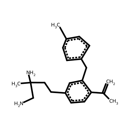 C=C(C)c1ccc(CCC(C)(N)CN)cc1Cc1ccc(C)cc1